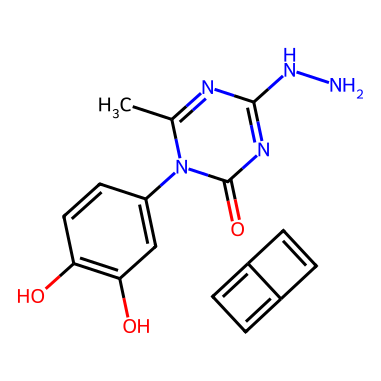 Cc1nc(NN)nc(=O)n1-c1ccc(O)c(O)c1.c1cc2ccc1-2